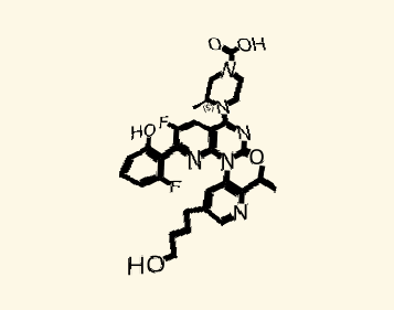 CC(C)c1ncc(CCCCO)cc1-n1c(=O)nc(N2CCN(C(=O)O)C[C@@H]2C)c2cc(F)c(-c3c(O)cccc3F)nc21